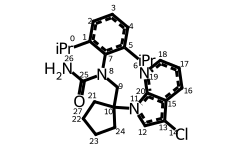 CC(C)c1cccc(C(C)C)c1N(CC1(n2cc(Cl)c3cccnc32)CCCC1)C(N)=O